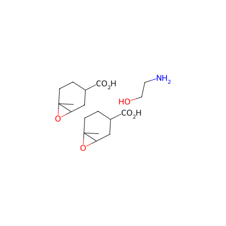 CC12CCC(C(=O)O)CC1O2.CC12CCC(C(=O)O)CC1O2.NCCO